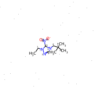 CCN1N=CN(CC(C)(C)C)C1[N+](=O)[O-]